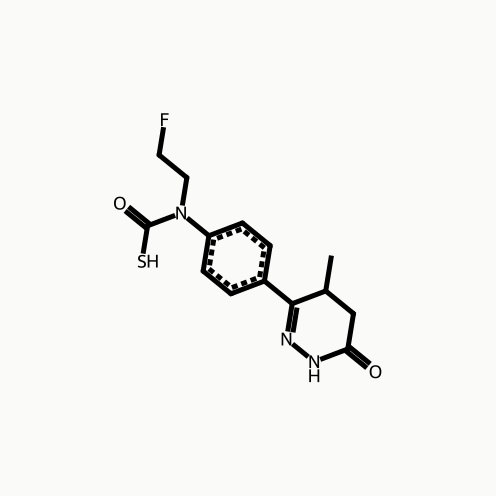 CC1CC(=O)NN=C1c1ccc(N(CCF)C(=O)S)cc1